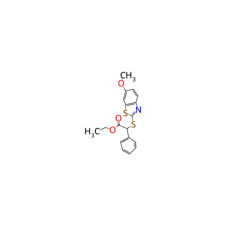 CCOC(=O)C(Sc1nc2ccc(OC)cc2s1)c1ccccc1